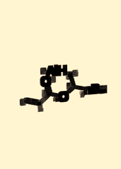 C=CC(=O)OC(C)CCCC.[AlH3]